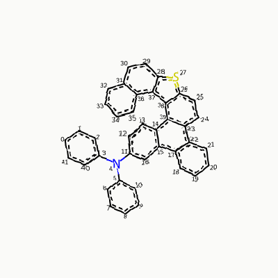 c1ccc(N(c2ccccc2)c2ccc3c(c2)c2ccccc2c2ccc4sc5ccc6ccccc6c5c4c23)cc1